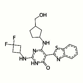 O=c1[nH]c(NC2CC(F)(F)C2)nc(NC2CCC(CO)C2)c1-c1nc2ccccc2s1